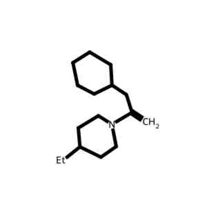 C=C(CC1CCCCC1)N1CCC(CC)CC1